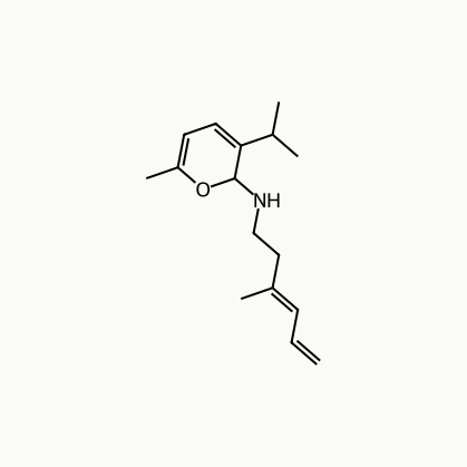 C=C/C=C(\C)CCNC1OC(C)=CC=C1C(C)C